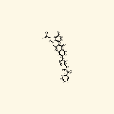 O=C(O)CCCCc1nc2cc(-c3cc(CNC(=O)c4ccccc4)on3)ccc2c(=O)n1-c1ccc(F)cc1